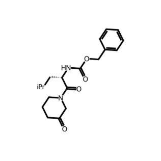 CC(C)C[C@H](NC(=O)OCc1ccccc1)C(=O)N1CCCC(=O)C1